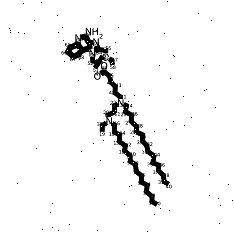 CCCCCCCCCCCCCCCCCN(CC)CCCN(CCCCCCCCCCCCCCCCC)CCCCCC(=O)OC(C)(C)Cn1c(COCC)nc2c(N)nc3ccccc3c21